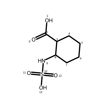 O=C(O)C1CCCCC1NS(=O)(=O)O